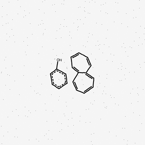 C1=CC=C2C=CC=CC=C2C=C1.Oc1ccccc1